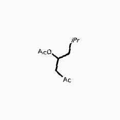 CC(=O)CC(CC(C)C)OC(C)=O